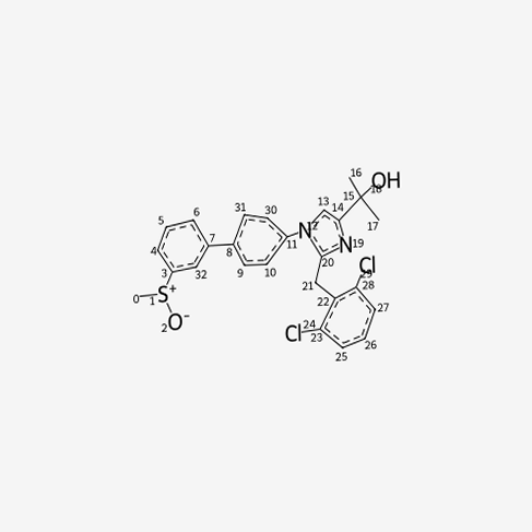 C[S+]([O-])c1cccc(-c2ccc(-n3cc(C(C)(C)O)nc3Cc3c(Cl)cccc3Cl)cc2)c1